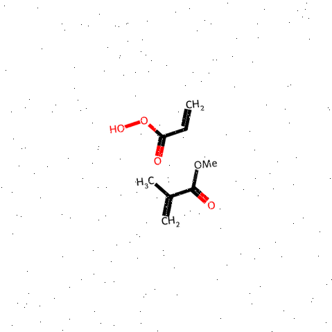 C=C(C)C(=O)OC.C=CC(=O)OO